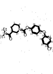 CCN(CC)C(=O)C1CCCN(C(=O)Oc2ccc(Oc3ccc(C(F)(F)F)cn3)cc2)C1